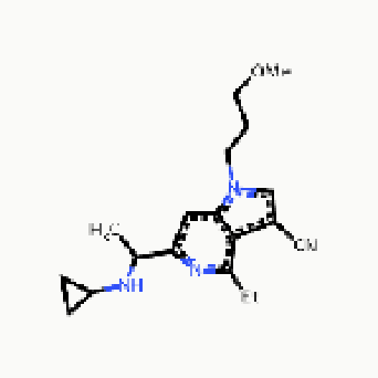 CCc1nc(C(C)NC2CC2)cc2c1c(C#N)cn2CCCOC